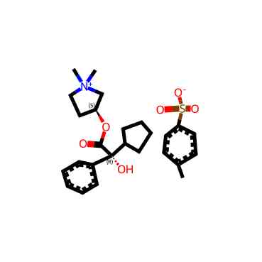 C[N+]1(C)CC[C@H](OC(=O)[C@](O)(c2ccccc2)C2CCCC2)C1.Cc1ccc(S(=O)(=O)[O-])cc1